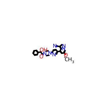 CCOc1cc(-c2ccc(N3CCN(C(=O)[C@H](O)c4ccccc4)CC3)nc2)c2c(C#N)cnn2c1